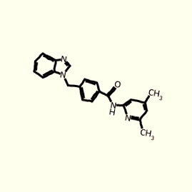 Cc1cc(C)nc(NC(=O)c2ccc(Cn3cnc4ccccc43)cc2)c1